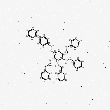 c1ccc(COC[C@H]2[C@@H](OCc3ccccc3)[C@H](OCc3ccccc3)[C@@H](OCc3ccccc3)CN2CCc2ccc(-c3ccccc3)cc2)cc1